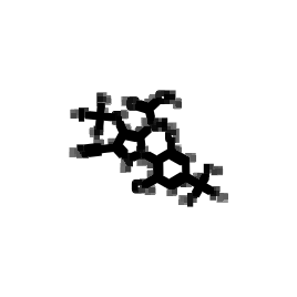 CC(=O)Nc1c(SC(F)(F)F)c(C#N)nn1-c1c(Cl)cc(C(F)(F)F)cc1Cl